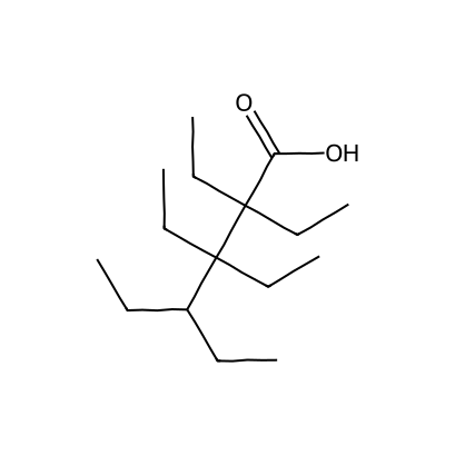 CCC(CC)C(CC)(CC)C(CC)(CC)C(=O)O